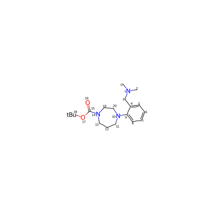 CN(C)Cc1ccccc1N1CCCN(C(=O)OC(C)(C)C)CC1